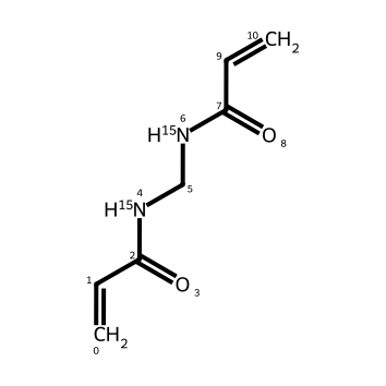 C=CC(=O)[15NH]C[15NH]C(=O)C=C